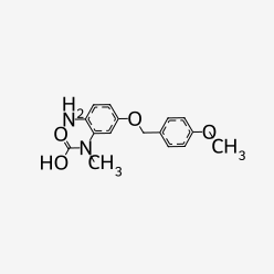 COc1ccc(COc2ccc(N)c(N(C)C(=O)O)c2)cc1